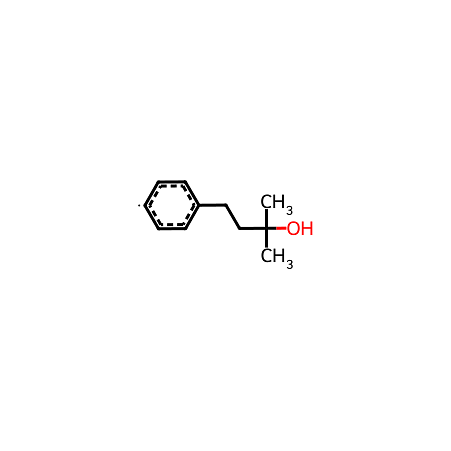 CC(C)(O)CCc1cc[c]cc1